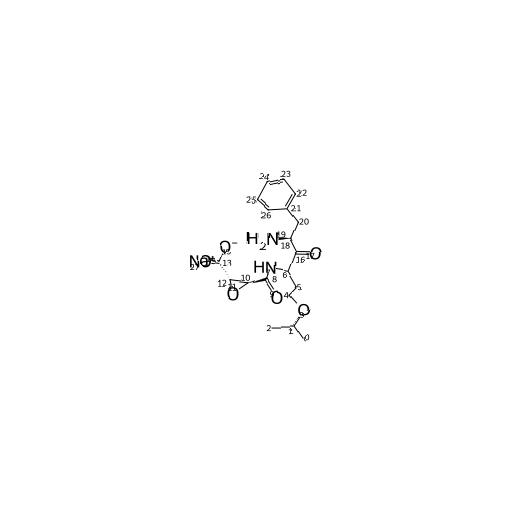 CC(C)OCCC(NC(=O)[C@H]1O[C@@H]1C(=O)[O-])C(=O)[C@@H](N)Cc1ccccc1.[Na+]